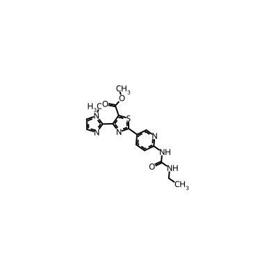 CCNC(=O)Nc1ccc(-c2nc(-c3nccn3C)c(C(=O)OC)s2)cn1